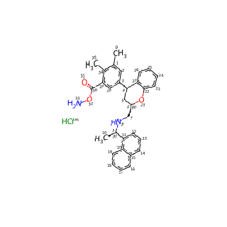 Cc1cc(C2C[C@H](CN[C@H](C)c3cccc4ccccc34)Oc3ccccc32)cc(C(=O)ON)c1C.Cl